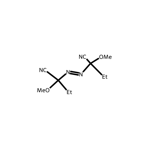 CCC(C#N)(N=NC(C#N)(CC)OC)OC